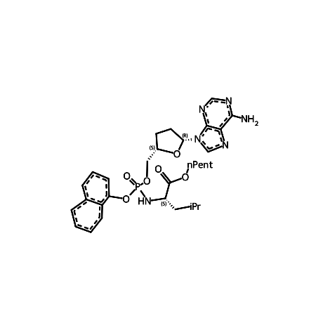 CCCCCOC(=O)[C@H](CC(C)C)NP(=O)(OC[C@@H]1CC[C@H](n2cnc3c(N)ncnc32)O1)Oc1cccc2ccccc12